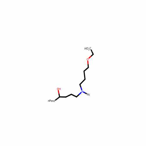 CCCCCC(O)CCCN(CCCCOCC(=O)O)C(C)=O